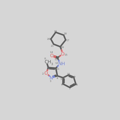 Cc1onc(-c2ccccc2)c1NC(=O)OC1CCCCC1